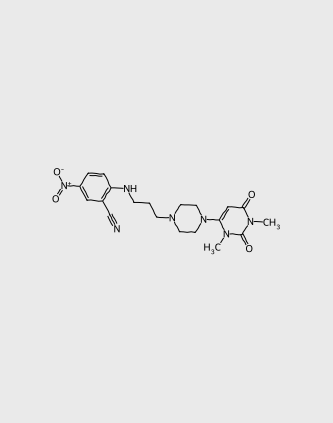 Cn1c(N2CCN(CCCNc3ccc([N+](=O)[O-])cc3C#N)CC2)cc(=O)n(C)c1=O